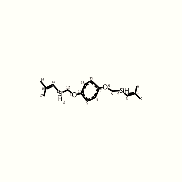 CC(C)=C[SiH2]COc1ccc(OC[SiH2]C=C(C)C)cc1